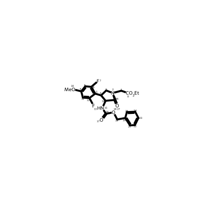 CCOC(=O)CN1CC(c2c(F)cc(OC)cc2F)C(NC(=O)OCc2ccccc2)C1=O